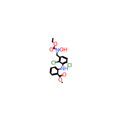 CCOC(=O)N(O)Cc1ccc(Cl)c(Nc2ccccc2C(=O)OC)c1Cl